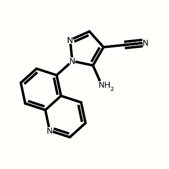 N#Cc1cnn(-c2cccc3ncccc23)c1N